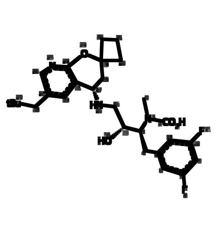 CN(C(=O)O)[C@@H](Cc1cc(F)cc(F)c1)[C@H](O)CN[C@H]1CC2(CCC2)Oc2ncc(CC(C)(C)C)cc21